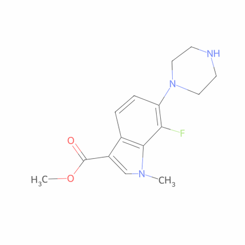 COC(=O)c1cn(C)c2c(F)c(N3CCNCC3)ccc12